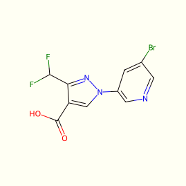 O=C(O)c1cn(-c2cncc(Br)c2)nc1C(F)F